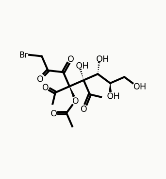 CC(=O)O[C@@](C(C)=O)(C(=O)C(=O)CBr)[C@](O)(C(C)=O)[C@H](O)[C@H](O)CO